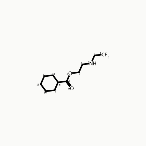 O=C(OCCNCC(F)(F)F)C1CCCCC1